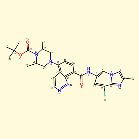 Cc1cn2cc(NC(=O)c3ccc(N4CC(C)N(C(=O)OC(C)(C)C)C(C)C4)c4ccnnc34)cc(F)c2n1